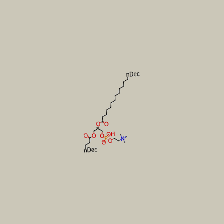 CCCCCCCCCCCCCCCCCCCCCCC(=O)O[C@H](COC(=O)CCCCCCCCCCCC)COP(=O)(O)OCC[N+](C)(C)C